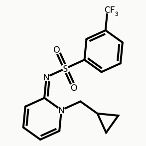 O=S(=O)(N=c1ccccn1CC1CC1)c1cccc(C(F)(F)F)c1